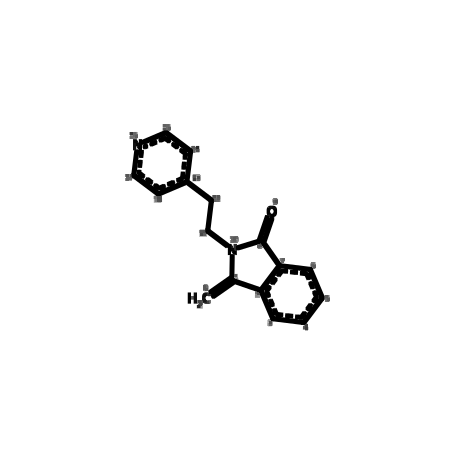 C=C1c2ccccc2C(=O)N1CCc1ccncc1